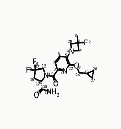 CC1(F)CN(c2ccc(C(=O)N3CC(F)(F)C[C@H]3C(N)=O)nc2OCC2CC2)C1